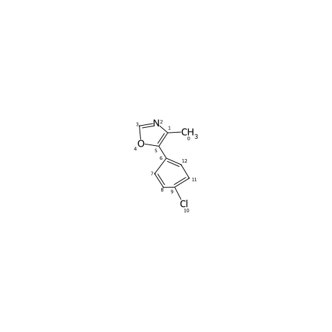 Cc1ncoc1-c1ccc(Cl)cc1